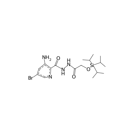 CC(C)[Si](OCC(=O)NNC(=O)c1ncc(Br)cc1N)(C(C)C)C(C)C